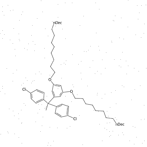 CCCCCCCCCCCCCCCCCCOc1cc(OCCCCCCCCCCCCCCCCCC)cc(C(C)(c2ccc(Cl)cc2)c2ccc(Cl)cc2)c1